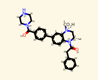 C[C@H]1CN(C(=O)O)c2cc(-c3ccc(C(=O)N4CCNCC4)cc3)ccc2N1C(=O)Cc1ccccc1